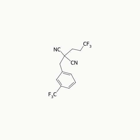 N#CC(C#N)(CCC(F)(F)F)Cc1cccc(C(F)(F)F)c1